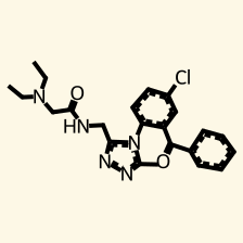 CCN(CC)CC(=O)NCc1nnc(C)n1-c1ccc(Cl)cc1C(=O)c1ccccc1